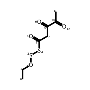 CCOSSC(=O)CC(=O)C(C)=O